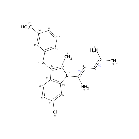 C/C(N)=C/C=C(\N)n1c(C)c(Sc2cccc(C(=O)O)c2)c2ccc(Cl)cc21